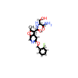 Cc1oc2cnc(OCc3ccccc3F)cc2c1C(=O)NC(CO)C(N)=O